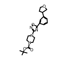 CC(C)(C)OC(=O)N1CCN(c2noc(-c3cccc(C4CCOC4)c3)n2)CC1